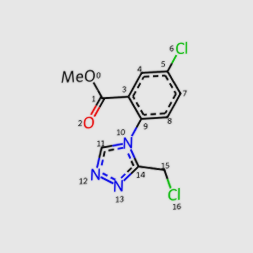 COC(=O)c1cc(Cl)ccc1-n1cnnc1CCl